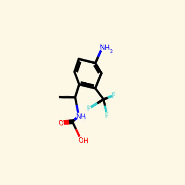 CC(NC(=O)O)c1ccc(N)cc1C(F)(F)F